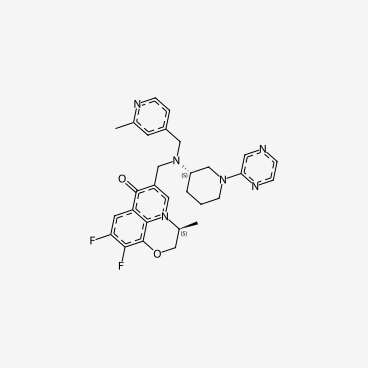 Cc1cc(CN(Cc2cn3c4c(c(F)c(F)cc4c2=O)OC[C@@H]3C)[C@H]2CCCN(c3cnccn3)C2)ccn1